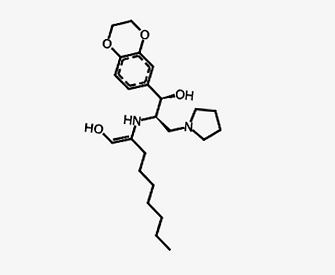 CCCCCCC/C(=C/O)N[C@H](CN1CCCC1)[C@H](O)c1ccc2c(c1)OCCO2